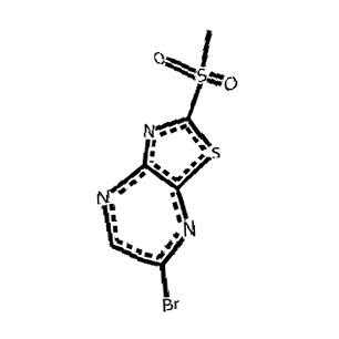 CS(=O)(=O)c1nc2ncc(Br)nc2s1